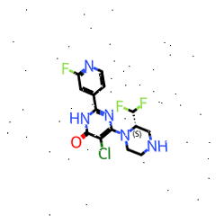 O=c1[nH]c(-c2ccnc(F)c2)nc(N2CCNC[C@H]2C(F)F)c1Cl